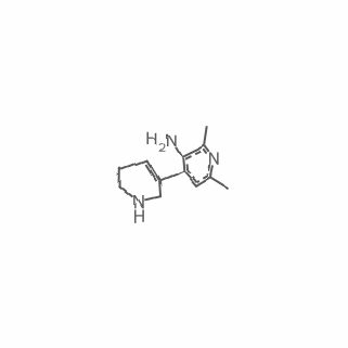 Cc1cc(C2=CCCNC2)c(N)c(C)n1